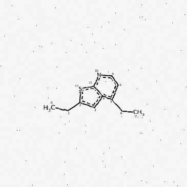 CCc1cc2c(CC)ccnc2s1